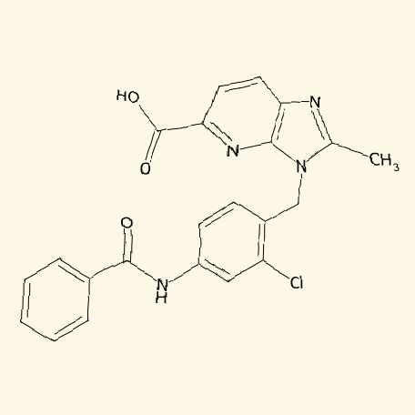 Cc1nc2ccc(C(=O)O)nc2n1Cc1ccc(NC(=O)c2ccccc2)cc1Cl